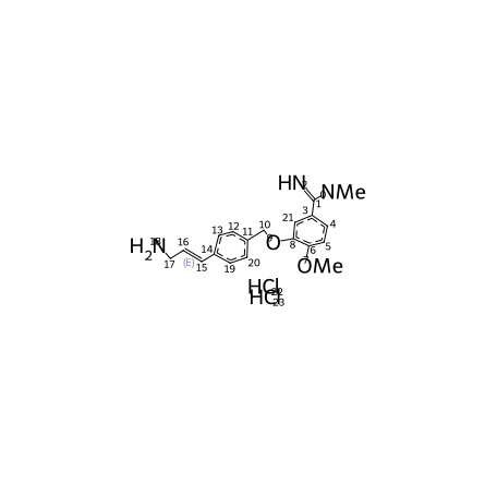 CNC(=N)c1ccc(OC)c(OCc2ccc(/C=C/CN)cc2)c1.Cl.Cl